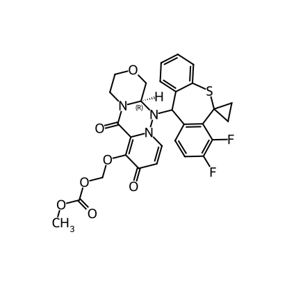 COC(=O)OCOc1c2n(ccc1=O)N(C1c3ccccc3SC3(CC3)c3c1ccc(F)c3F)[C@@H]1COCCN1C2=O